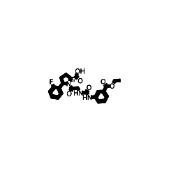 CCOC(=O)c1cccc(NC(=O)NCC(=O)N2C(c3ccccc3F)CC[C@H]2C(=O)O)c1